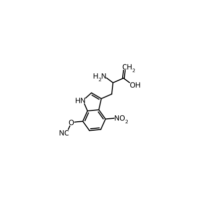 C=C(O)C(N)Cc1c[nH]c2c(OC#N)ccc([N+](=O)[O-])c12